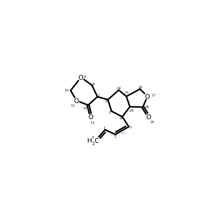 C=C/C=C\C1CC(C2COCOC2=O)CC2COC(=O)C12